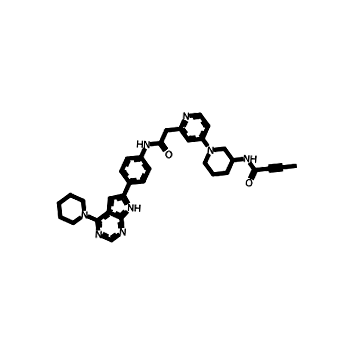 CC#CC(=O)NC1CCCN(c2ccnc(CC(=O)Nc3ccc(-c4cc5c(N6CCCCC6)ncnc5[nH]4)cc3)c2)C1